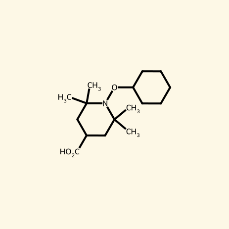 CC1(C)CC(C(=O)O)CC(C)(C)N1OC1CCCCC1